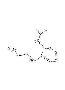 CC(C)Oc1ccccc1NCCN